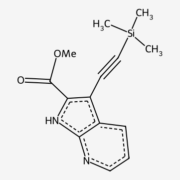 COC(=O)c1[nH]c2ncccc2c1C#C[Si](C)(C)C